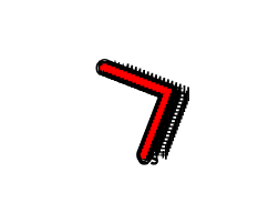 O=[N+]([O-])O.O=[N+]([O-])O.O=[N+]([O-])O.O=[N+]([O-])O.O=[N+]([O-])O.O=[N+]([O-])O.O=[N+]([O-])O.O=[N+]([O-])O.O=[N+]([O-])O.O=[N+]([O-])O.O=[N+]([O-])O.O=[N+]([O-])O.O=[N+]([O-])O.O=[N+]([O-])O.O=[N+]([O-])O.O=[N+]([O-])O.O=[N+]([O-])O.O=[N+]([O-])O.O=[N+]([O-])O.O=[N+]([O-])O.O=[N+]([O-])O.O=[N+]([O-])O.O=[N+]([O-])O.O=[N+]([O-])O.O=[N+]([O-])O.O=[N+]([O-])O.O=[N+]([O-])O.O=[N+]([O-])O.O=[N+]([O-])O.O=[N+]([O-])O.O=[N+]([O-])O.O=[N+]([O-])O.O=[N+]([O-])[O-].O=[N+]([O-])[O-].[Cs+].[Cs+]